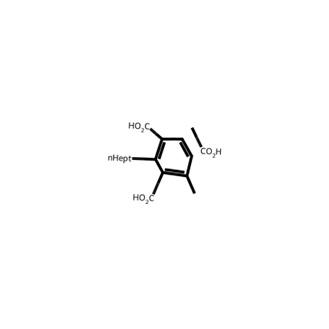 CC(=O)O.CCCCCCCc1c(C(=O)O)ccc(C)c1C(=O)O